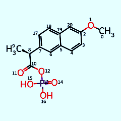 COc1ccc2cc([C@H](C)C(=O)OP(=O)(O)O)ccc2c1